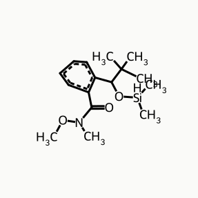 CON(C)C(=O)c1ccccc1C(O[SiH](C)C)C(C)(C)C